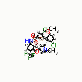 COc1ccc(Cl)cc1-c1sc(S(=O)(=O)Nc2ccc(C(F)(F)F)c(OC3CCN(C)C3)c2)cc1Cl